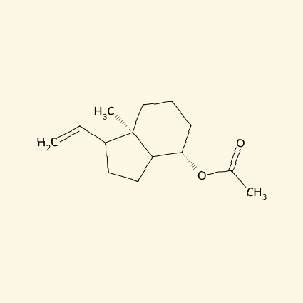 C=CC1CCC2[C@@H](OC(C)=O)CCC[C@]12C